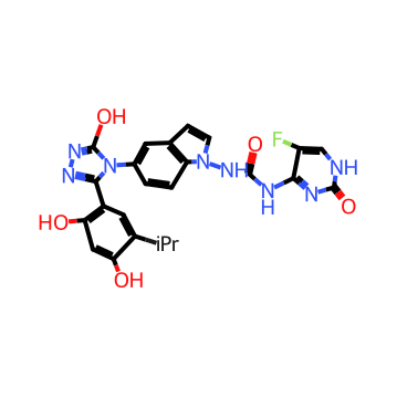 CC(C)c1cc(-c2nnc(O)n2-c2ccc3c(ccn3NC(=O)Nc3nc(=O)[nH]cc3F)c2)c(O)cc1O